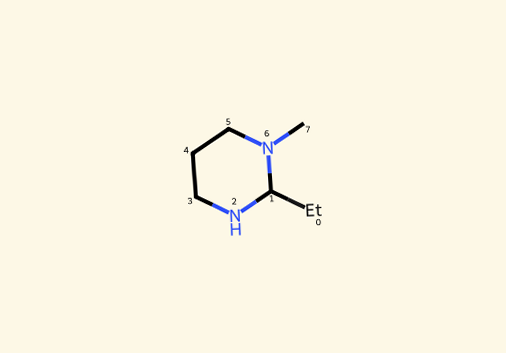 CCC1NCCCN1C